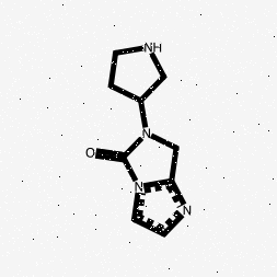 O=C1N(C2CCNC2)Cc2nccn21